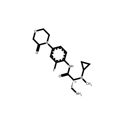 CN(C1CC1)[C@H](CN)C(=O)Nc1ccc(N2CCOCC2=O)cc1F